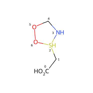 O=C(O)C[SH]1NCOO1